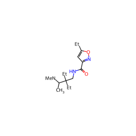 CCc1cc(C(=O)NCC(CC)(CC)C(C)NC)no1